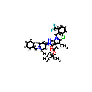 C[C@@H]1CN(Cc2c(Cl)cccc2C(F)F)C[C@]1(CC(=O)OC(C)(C)C)C(=O)NC1CCN(CC2CCCCC2)CC1